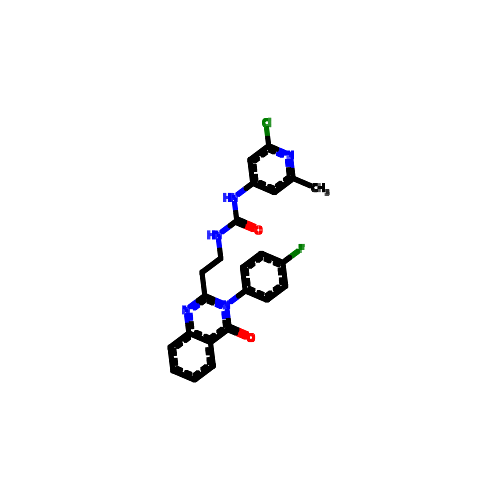 Cc1cc(NC(=O)NCCc2nc3ccccc3c(=O)n2-c2ccc(F)cc2)cc(Cl)n1